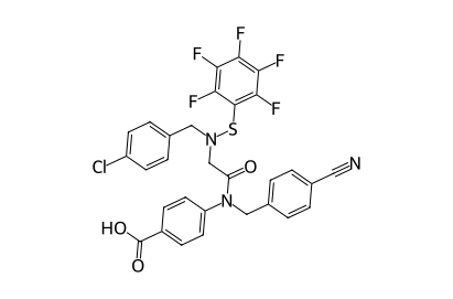 N#Cc1ccc(CN(C(=O)CN(Cc2ccc(Cl)cc2)Sc2c(F)c(F)c(F)c(F)c2F)c2ccc(C(=O)O)cc2)cc1